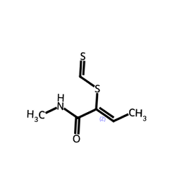 C/C=C(\SC=S)C(=O)NC